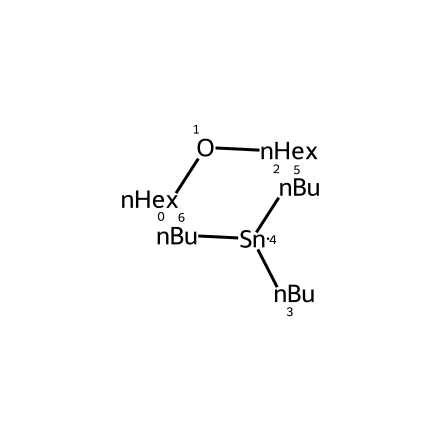 CCCCCCOCCCCCC.CCC[CH2][Sn]([CH2]CCC)[CH2]CCC